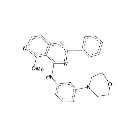 COc1nccc2cc(-c3ccccc3)nc(Nc3cccc(N4CCOCC4)c3)c12